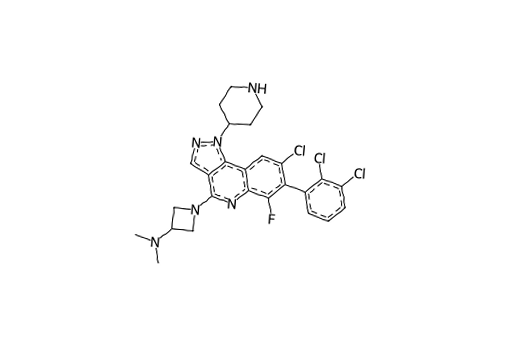 CN(C)C1CN(c2nc3c(F)c(-c4cccc(Cl)c4Cl)c(Cl)cc3c3c2cnn3C2CCNCC2)C1